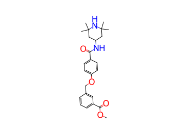 COC(=O)c1cccc(COc2ccc(C(=O)NC3CC(C)(C)NC(C)(C)C3)cc2)c1